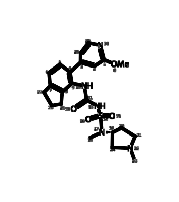 COc1cc(-c2ccc3c(c2NC(=O)NS(=O)(=O)N(C)[C@@H]2CCN(C)C2)CCC3)ccn1